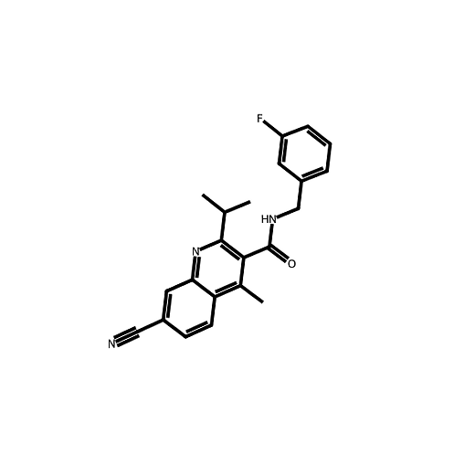 Cc1c(C(=O)NCc2cccc(F)c2)c(C(C)C)nc2cc(C#N)ccc12